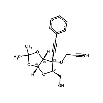 C#CCO[C@]1(C#Cc2ccccc2)[C@@H](CO)O[C@@H]2OC(C)(C)O[C@@H]21